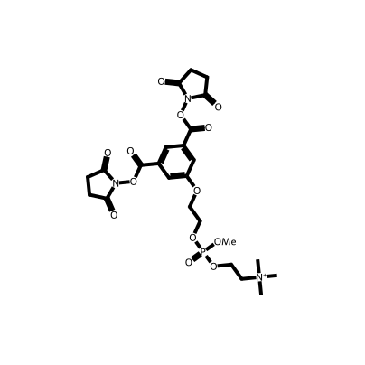 COP(=O)(OCCOc1cc(C(=O)ON2C(=O)CCC2=O)cc(C(=O)ON2C(=O)CCC2=O)c1)OCC[N+](C)(C)C